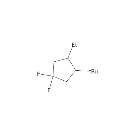 CCC1CC(F)(F)CC1C(C)(C)C